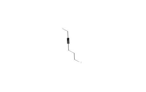 CCC#CCCC[NH]